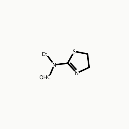 CCN(C=O)C1=NCCS1